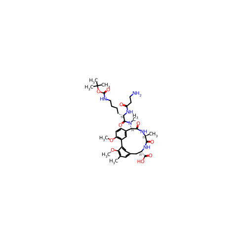 COc1ccc2cc1-c1cc(cc(C)c1OC)C[C@@H](C(=O)O)NC(=O)[C@H](C)NC(=O)[C@H]2N(C)C(=O)[C@H](CCCCNC(=O)OC(C)(C)C)NC(=O)CCN